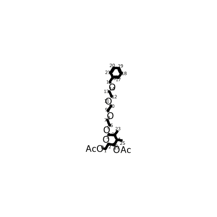 CC(=O)OCC1OC(OCCOCCOCCOCc2ccccc2)C(C)C(C)C1OC(C)=O